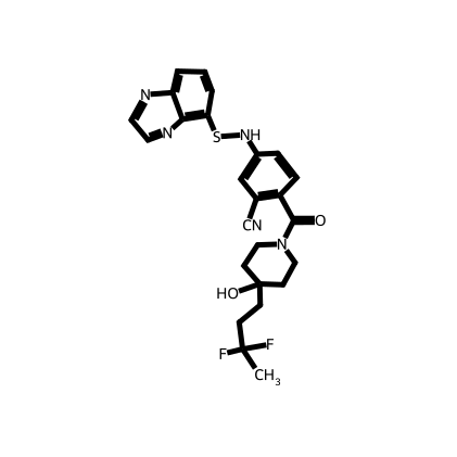 CC(F)(F)CCC1(O)CCN(C(=O)c2ccc(NSc3cccc4nccnc34)cc2C#N)CC1